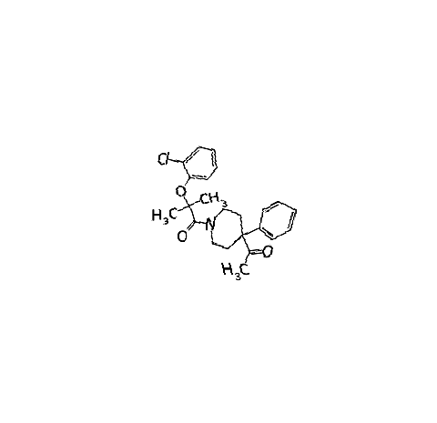 CC(=O)C1(c2ccccc2)CCN(C(=O)C(C)(C)Oc2ccccc2Cl)CC1